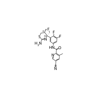 Cc1cc(C#N)cnc1C(=O)Nc1cc(F)c(F)c([C@@]2(CF)N=C(N)SC[C@H]2C)c1